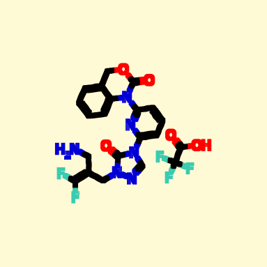 NCC(Cn1ncn(-c2cccc(N3C(=O)OCc4ccccc43)n2)c1=O)=C(F)F.O=C(O)C(F)(F)F